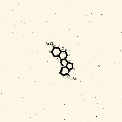 CC(=O)OC1=CC=C[C@]23CCC4C(CC[C@@H]5C[C@H](OC(C)=O)CC[C@]45C)C2CCC13